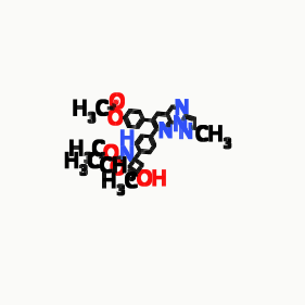 CC(=O)Oc1ccc(-c2cc3cnc4cc(C)nn4c3nc2-c2ccc([C@]3(NC(=O)OC(C)(C)C)C[C@](C)(O)C3)cc2)cc1